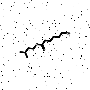 CC(C)CCOC(=O)CCCCCO